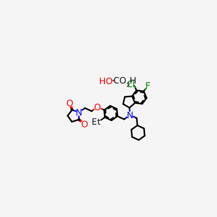 CCc1cc(CN(CC2CCCCC2)C2CCc3c2ccc(F)c3Cl)ccc1OCCN1C(=O)CCC1=O.O=C(O)O